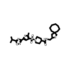 Cc1sc(-c2noc(C(C)C)n2)cc1S(=O)(=O)N1CCC(C(=O)NCC2CC3(CCCCCCC3)CS2)CC1